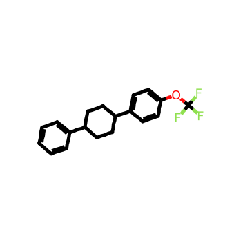 FC(F)(F)Oc1ccc(C2CCC(c3ccccc3)CC2)cc1